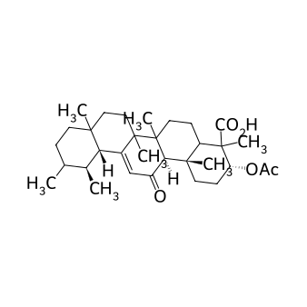 CC(=O)O[C@@H]1CC[C@@]2(C)C(CCC3(C)[C@@H]2C(=O)C=C2[C@@H]4[C@@H](C)C(C)CCC4(C)CCC23C)C1(C)C(=O)O